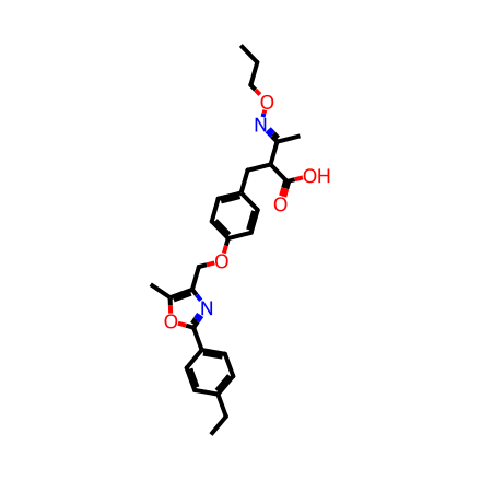 CCCON=C(C)C(Cc1ccc(OCc2nc(-c3ccc(CC)cc3)oc2C)cc1)C(=O)O